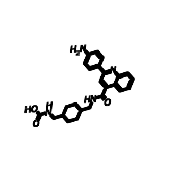 Nc1ccc(-c2cc(C(=O)NCC3CCC(CNC(=O)O)CC3)c3ccccc3n2)cc1